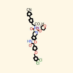 N#Cc1ccc(-c2ccc(C[C@H](NC(=O)[C@@H]3Cc4cc5c(cc4CN3C(=O)OC3CCOCC3)OC(c3ccc(OCc4ccc(Cl)c(Cl)c4)cc3)C(=O)N5)C(=O)O)cc2)cc1